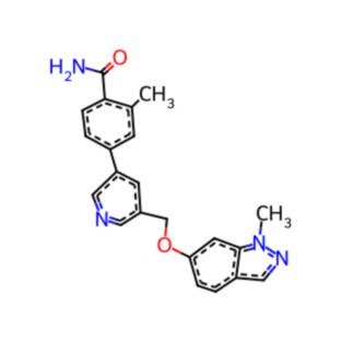 Cc1cc(-c2cncc(COc3ccc4cnn(C)c4c3)c2)ccc1C(N)=O